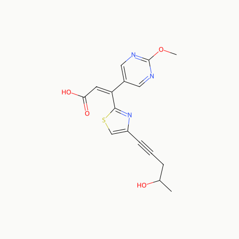 COc1ncc(C(=CC(=O)O)c2nc(C#CCC(C)O)cs2)cn1